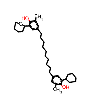 Cc1cc(CCCCCCCCCCc2cc(C)c(O)c(C3CCCCC3)c2)cc(C2CCCCC2)c1O